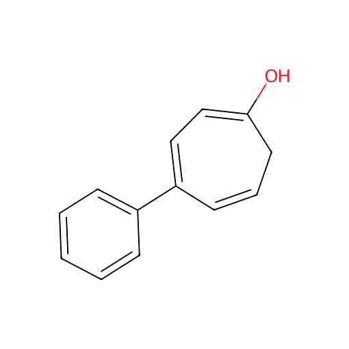 OC1=CC=C(c2ccccc2)C=CC1